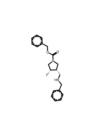 O=C(OCc1ccccc1)N1C[C@H](CNCc2ccccc2)[C@H](F)C1